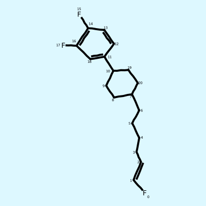 FC=CCCCCC1CCC(c2ccc(F)c(F)c2)CC1